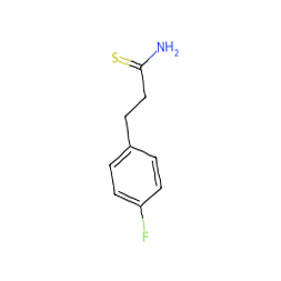 NC(=S)CCc1ccc(F)cc1